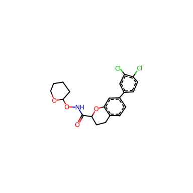 O=C(NOC1CCCCO1)C1CCc2ccc(-c3ccc(Cl)c(Cl)c3)cc2O1